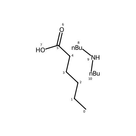 CCCCCC(=O)O.CCCCNCCCC